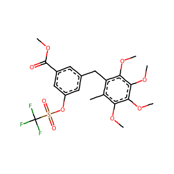 COC(=O)c1cc(Cc2c(C)c(OC)c(OC)c(OC)c2OC)cc(OS(=O)(=O)C(F)(F)F)c1